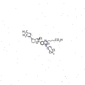 C=C/C=C\C(=C/C)C1C2CCCC(CN(CC)C(=O)c3ccc(/N=C/C(/C=C\CCl)=C/C=C)c(/N=C(\CC)CCCCC(=O)O)c3)C21